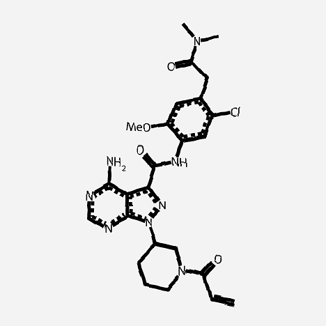 C=CC(=O)N1CCCC(n2nc(C(=O)Nc3cc(Cl)c(CC(=O)N(C)C)cc3OC)c3c(N)ncnc32)C1